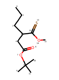 CCCC(CC(=O)OC(C)(C)C)C(=S)OC